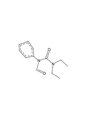 CCN(CC)C(=O)N([C]=O)c1ccccc1